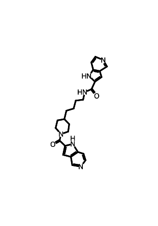 O=C(NCCCCC1CCN(C(=O)c2cc3cnccc3[nH]2)CC1)c1cc2cnccc2[nH]1